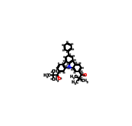 CC(C)(C)C(=O)c1ccc2c3cc(-c4ccccc4)cc4c5ccc(C(=O)C(C)(C)C)cc5n(c2c1)c34